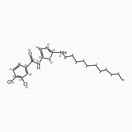 CCCCCCCCCCCNc1nnc(NC(=O)c2ccc(Cl)c(Cl)c2)s1